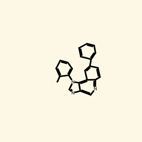 Cc1ccccc1-n1cnc2cnc3ccc(-c4ccccc4)cc3c21